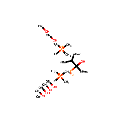 CCCCCCC(CCCC)C(O)(P)CCCCCC.CC[PH](C)(C)C.CC[PH](C)(C)C.O=NO.O=NO.O=NO.O=NO.O=NO.O=NO.[Cu]